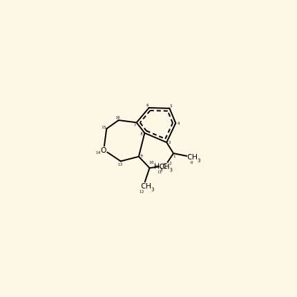 CC(C)c1cccc2c1C(C(C)C)COCC2